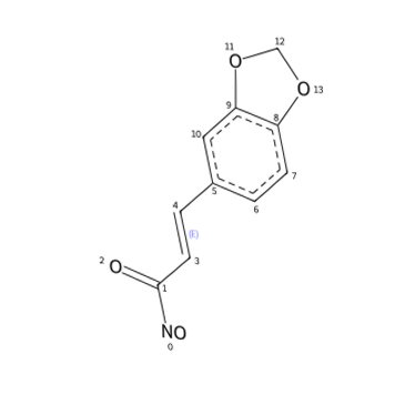 O=NC(=O)/C=C/c1ccc2c(c1)OCO2